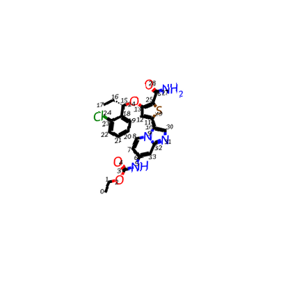 CCOC(=O)Nc1ccn2c(-c3cc(O[C@@H](CC)c4ccccc4Cl)c(C(N)=O)s3)cnc2c1